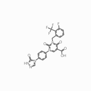 O=C(O)c1cn(-c2ccc(-n3cn[nH]c3=O)cc2)c(=O)n(Cc2cccc(F)c2C(F)(F)F)c1=O